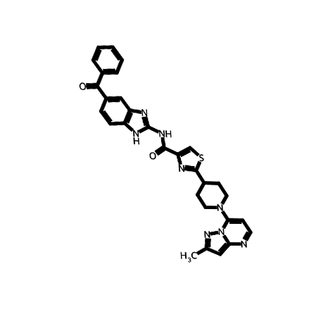 Cc1cc2nccc(N3CCC(c4nc(C(=O)Nc5nc6cc(C(=O)c7ccccc7)ccc6[nH]5)cs4)CC3)n2n1